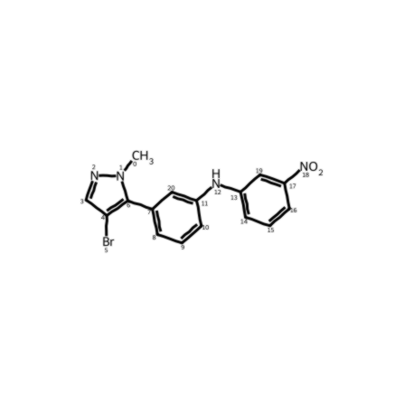 Cn1ncc(Br)c1-c1cccc(Nc2cccc([N+](=O)[O-])c2)c1